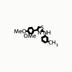 COc1ccc(-c2csc(Nc3cccc(C)c3)n2)c(OC)c1